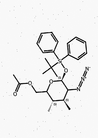 CC(=O)OCC1O[C@@H](O[Si](c2ccccc2)(c2ccccc2)C(C)(C)C)C(N=[N+]=[N-])[C@@H](C)[C@@H]1C